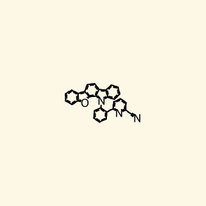 N#Cc1cccc(-c2ccccc2-n2c3ccccc3c3ccc4c5ccccc5oc4c32)n1